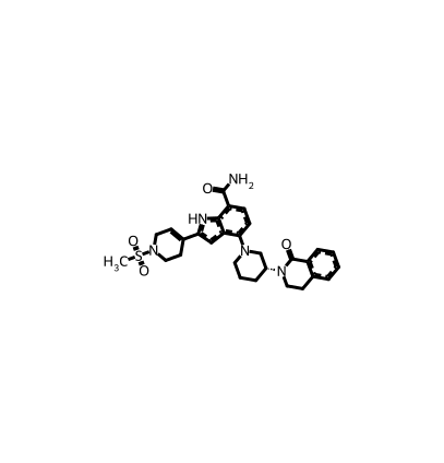 CS(=O)(=O)N1CC=C(c2cc3c(N4CCC[C@@H](N5CCc6ccccc6C5=O)C4)ccc(C(N)=O)c3[nH]2)CC1